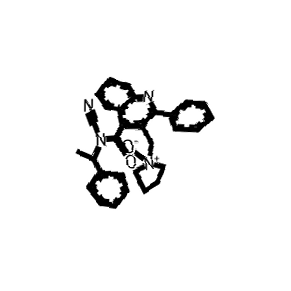 CC(c1ccccc1)N(C#N)C(=O)c1c(C[N+]2([O-])CCCC2)c(-c2ccccc2)nc2ccccc12